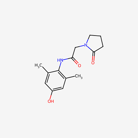 Cc1cc(O)cc(C)c1NC(=O)CN1CCCC1=O